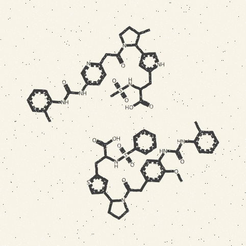 COc1cc(CC(=O)N2CCCC2c2csc(CC(NS(=O)(=O)c3ccccc3)C(=O)O)c2)ccc1NC(=O)Nc1ccccc1C.Cc1ccccc1NC(=O)Nc1ccc(CC(=O)N2CCC(C)C2c2c[nH]c(CC(NS(C)(=O)=O)C(=O)O)c2)nc1